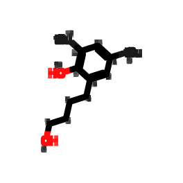 CC(C)(C)c1cc(CCCCO)c(O)c(C(C)(C)C)c1